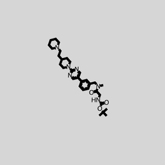 CN(Cc1cccc(-c2cnc(N3CCC(CCN4CCCCC4)CC3)nc2)c1)C(=O)CNC(=O)OC(C)(C)C